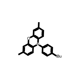 CCC(C)c1ccc(N2c3ccc(C)cc3Oc3cc(C)ccc32)cc1